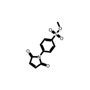 COS(=O)(=O)c1ccc(N2C(=O)C=CC2=O)cc1